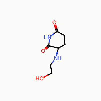 O=C1CCC(NCCO)C(=O)N1